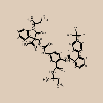 CCC(C)NC(=O)c1cc(OC(=O)OCC(C(=O)O)(C(=O)OC(C)CC)c2ccccc2)ccc1NC(=O)c1ccccc1-c1ccc(C(F)(F)F)cc1